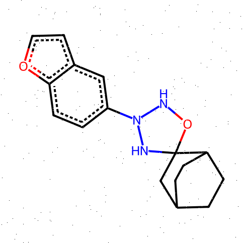 c1cc2cc(N3NOC4(CC5CCC4CC5)N3)ccc2o1